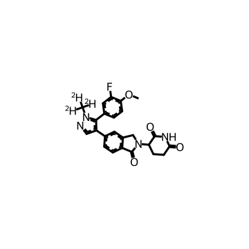 [2H]C([2H])([2H])n1ncc(-c2ccc3c(c2)CN(C2CCC(=O)NC2=O)C3=O)c1-c1ccc(OC)c(F)c1